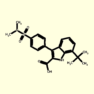 CN(C)S(=O)(=O)c1ccc(-c2c(C(=O)O)[nH]c3c(C(C)(C)C)cccc23)cc1